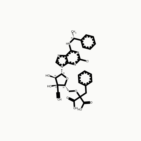 C#C[C@@]1(O)[C@@H](COC(Cc2ccccc2)(C(=O)O)C(=O)O)O[C@@H](n2cnc3c(N[C@H](C)c4ccccc4)nc(Cl)nc32)[C@@H]1O